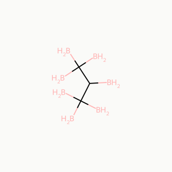 BC(C(B)(B)B)C(B)(B)B